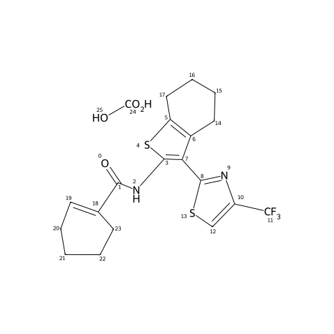 O=C(Nc1sc2c(c1-c1nc(C(F)(F)F)cs1)CCCC2)C1=CCCCC1.O=C(O)O